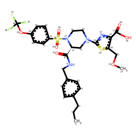 CCCc1ccc(CNC(=O)[C@H]2CN(c3nc(C(=O)O)c(COC)s3)CCN2S(=O)(=O)c2ccc(OC(F)(F)F)cc2)cc1